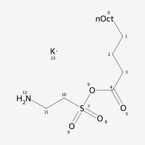 CCCCCCCCCCCC(=O)OS(=O)(=O)CCN.[K]